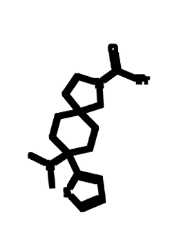 CC(C)C(=O)N1CCC2(CCC(c3cccs3)(N(C)C)CC2)C1